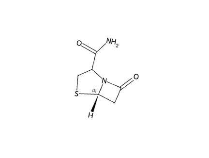 NC(=O)C1CS[C@H]2CC(=O)N12